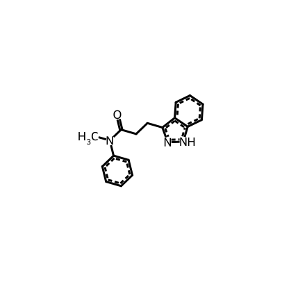 CN(C(=O)CCc1n[nH]c2ccccc12)c1ccccc1